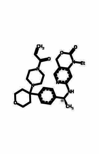 C=CC(=O)N1CCN(C2(c3ccc([C@H](C)Nc4cc5c(cn4)COC(=O)N5CC)cc3)CCOCC2)CC1